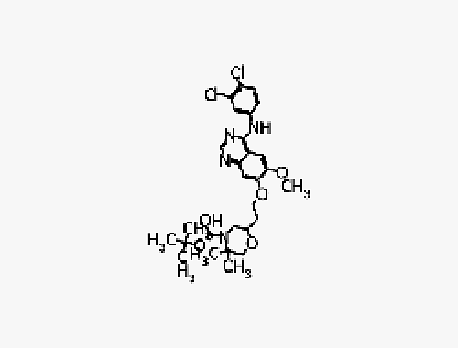 COc1cc2c(Nc3ccc(Cl)c(Cl)c3)ncnc2cc1OCCC1CN(C(O)OC(C)(C)C)C(C)(C)CO1